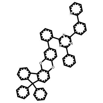 c1ccc(-c2nc(-c3cccc(-c4ccccn4)c3)nc(-c3ccccc3-c3ccc4c(c3)Oc3c(ccc5c3-c3ccccc3C5(c3ccccc3)c3ccccc3)O4)n2)cc1